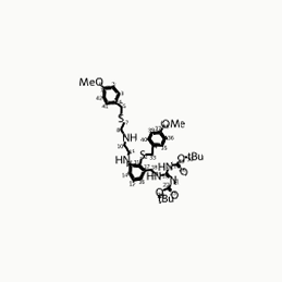 COc1ccc(CSCCNCCNc2cccc(CNC(=NC(=O)OC(C)(C)C)NC(=O)OC(C)(C)C)c2SCc2ccc(OC)cc2)cc1